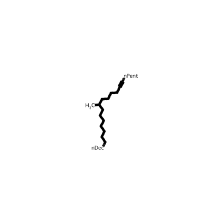 [CH2]CCCCC#CCCCCC(C)CCCCCCCCCCCCCCCC[CH2]